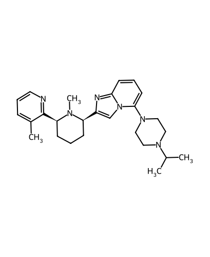 Cc1cccnc1[C@@H]1CCC[C@H](c2cn3c(N4CCN(C(C)C)CC4)cccc3n2)N1C